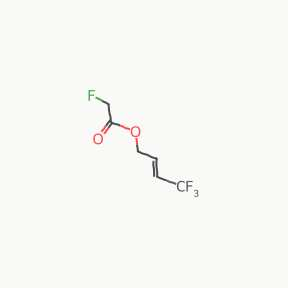 O=C(CF)OCC=CC(F)(F)F